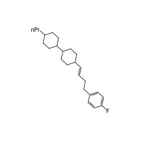 CCCC1CCC(C2CCC(C=CCCc3ccc(F)cc3)CC2)CC1